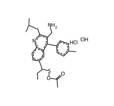 CCC(SOC(C)=O)c1ccc2nc(CC(C)C)c(CN)c(-c3ccc(C)cc3)c2c1.Cl.Cl